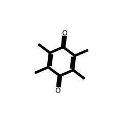 CC1=C(C)C(=O)C(C)=C(C)C1=O